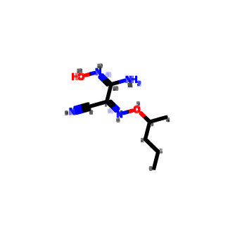 CCCC(C)O/N=C(C#N)\C(N)=N/O